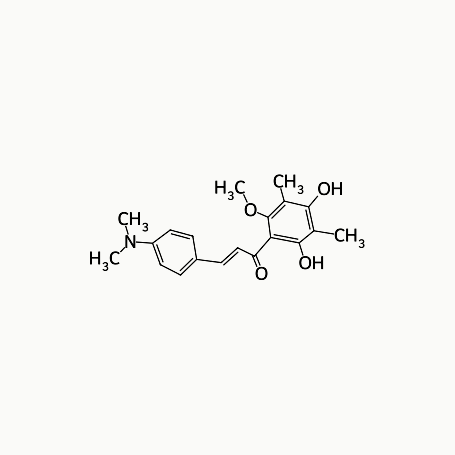 COc1c(C)c(O)c(C)c(O)c1C(=O)C=Cc1ccc(N(C)C)cc1